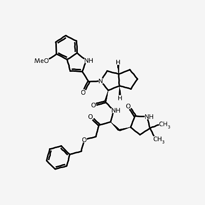 COc1cccc2[nH]c(C(=O)N3C[C@@H]4CCC[C@@H]4[C@H]3C(=O)N[C@@H](C[C@@H]3CC(C)(C)NC3=O)C(=O)COCc3ccccc3)cc12